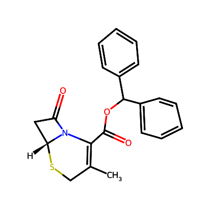 CC1=C(C(=O)OC(c2ccccc2)c2ccccc2)N2C(=O)C[C@H]2SC1